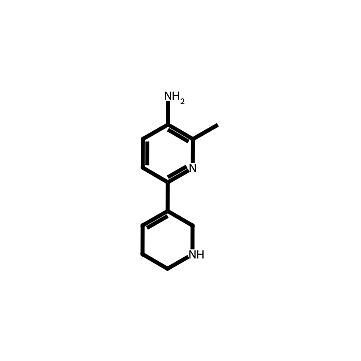 Cc1nc(C2=CCCNC2)ccc1N